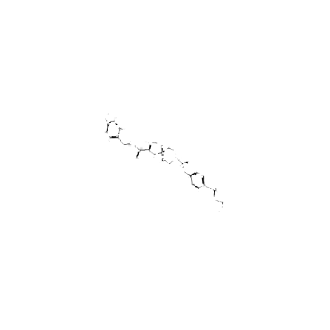 CCOC(=O)c1ccc(NC(=O)N2CCC3(CC2)CC(C(=O)NCc2ccc(Cl)cc2)=NO3)cc1